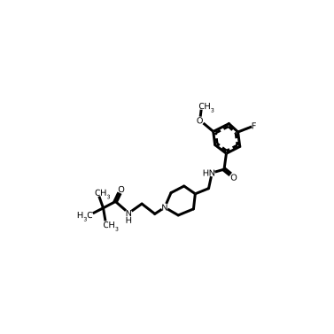 COc1cc(F)cc(C(=O)NCC2CCN(CCNC(=O)C(C)(C)C)CC2)c1